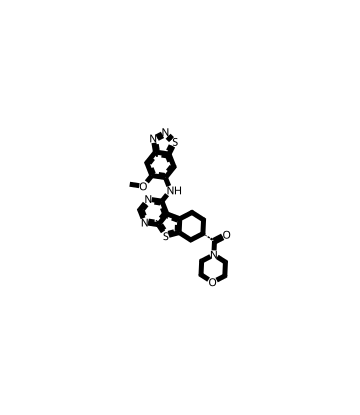 COc1cc2nnsc2cc1Nc1ncnc2sc3c(c12)CC[C@H](C(=O)N1CCOCC1)C3